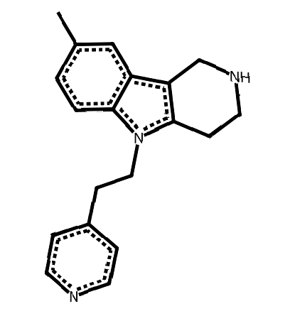 Cc1ccc2c(c1)c1c(n2CCc2ccncc2)CCNC1